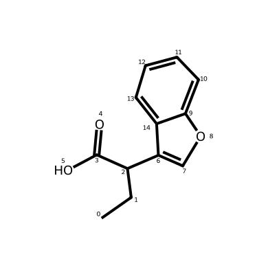 CCC(C(=O)O)c1coc2ccccc12